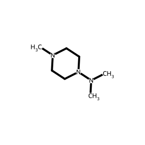 CN1CCN(N(C)C)CC1